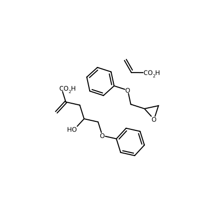 C=C(CC(O)COc1ccccc1)C(=O)O.C=CC(=O)O.c1ccc(OCC2CO2)cc1